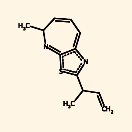 C=CC(C)c1nc2c(s1)=NC(C)C=CC=2